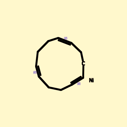 C1=C\CC/C=C\CC/C=C\CC/1.[Ni]